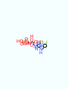 C[C@H](Nc1nc(Cl)nc2c1ncn2[C@@H]1O[C@H](CCP(=O)(O)CP(=O)(O)O)C(O)C1O)c1ccc(F)cc1